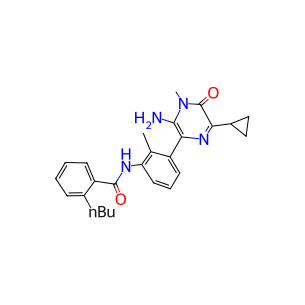 CCCCc1ccccc1C(=O)Nc1cccc(-c2nc(C3CC3)c(=O)n(C)c2N)c1C